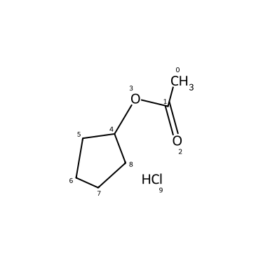 CC(=O)OC1CCCC1.Cl